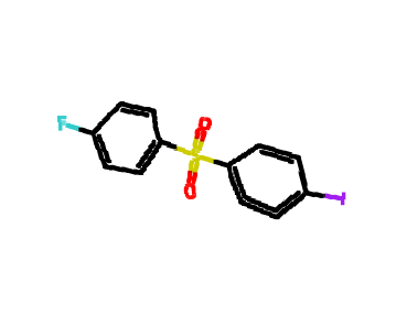 O=S(=O)(C1=C=C=C(I)C=C1)c1ccc(F)cc1